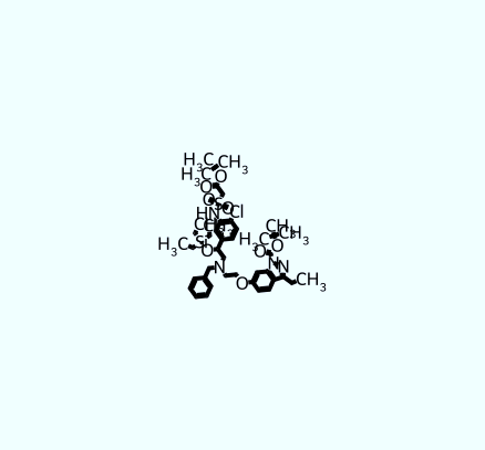 CCc1nn(C(=O)OC(C)(C)C)c2cc(OCCN(Cc3ccccc3)CC(O[Si](CC)(CC)CC)c3ccc(Cl)c(NS(=O)(=O)CC(=O)OC(C)(C)C)c3)ccc12